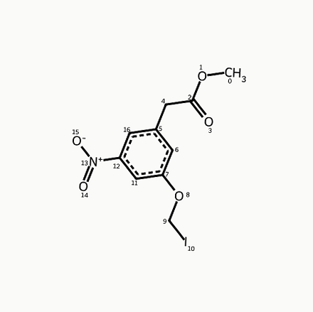 COC(=O)Cc1cc(OCI)cc([N+](=O)[O-])c1